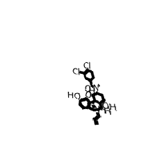 C=CCN1CC[C@]23c4c5ccc(O)c4O[C@H]2[C@@H](N(C)C(=O)c2ccc(Cl)c(Cl)c2)CC[C@@]3(O)[C@H]1C5